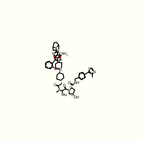 Cc1ncsc1-c1ccc(CNC(=O)[C@@H]2C[C@@H](O)CN2C(=O)C(N(C)C(=O)C[C@H]2CC[C@H](N3CCC(c4cnc(N5C6CCC5CN(c5cc(-c7ccccc7O)nnc5N)C6)nc4)CC3)CC2)C(C)(C)C)cc1